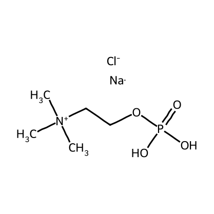 C[N+](C)(C)CCOP(=O)(O)O.[Cl-].[Na]